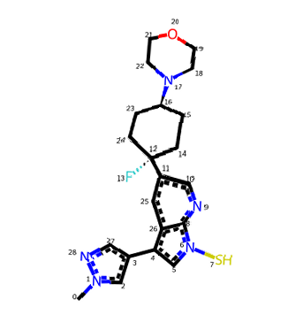 Cn1cc(-c2cn(S)c3ncc([C@]4(F)CC[C@H](N5CCOCC5)CC4)cc23)cn1